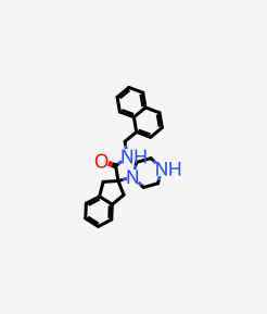 O=C(NCc1cccc2ccccc12)C1(N2CCNCC2)Cc2ccccc2C1